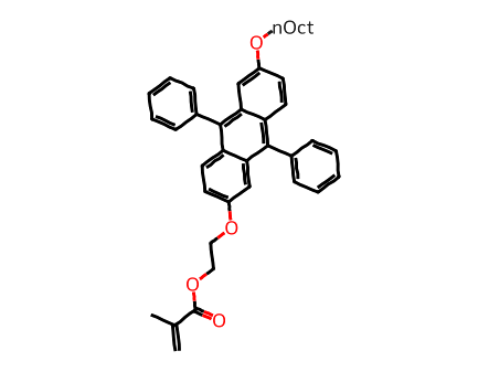 C=C(C)C(=O)OCCOc1ccc2c(-c3ccccc3)c3cc(OCCCCCCCC)ccc3c(-c3ccccc3)c2c1